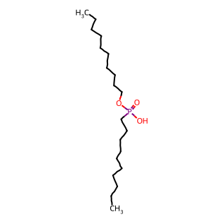 CCCCCCCCCCOP(=O)(O)CCCCCCCCCC